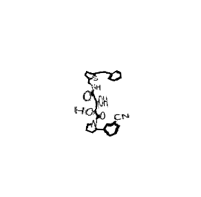 N#Cc1cccc(C2CCCN2C(=O)[C@H](O)[C@@H](O)C(=O)NCc2ccc(Cc3ccccc3)s2)c1